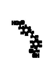 O=C(O)Cc1ccc(CCCc2ccc(CC(=O)O)cc2)cc1